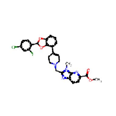 COC(=O)c1ccc2nc(CN3CC=C(c4cccc5c4OC(c4ccc(Cl)cc4F)O5)CC3)n(C)c2n1